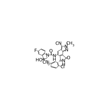 [C-]#[N+]c1c2cc(NC(=O)N3C[C@@](O)(C(F)(F)F)c4cc(F)ccc43)c3c(c2nn1C)C(=O)N[C@@H]3c1cc(F)ccc1Cl